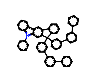 c1ccc(-c2cccc(-c3cccc(C4(c5cccc(-c6cccc(-c7ccccc7)c6)c5)c5ccccc5-c5cc6c7ccccc7n(-c7ccccc7)c6cc54)c3)c2)cc1